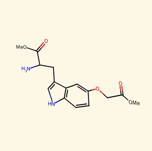 COC(=O)COc1ccc2[nH]cc(CC(N)C(=O)OC)c2c1